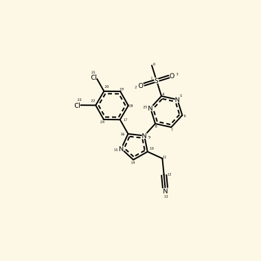 CS(=O)(=O)c1nccc(-n2c(CC#N)cnc2-c2ccc(Cl)c(Cl)c2)n1